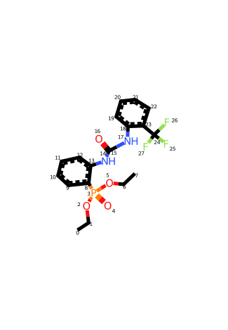 CCOP(=O)(OCC)c1ccccc1NC(=O)Nc1ccccc1C(F)(F)F